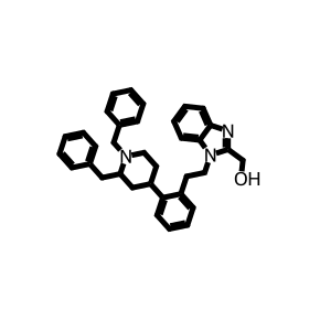 OCc1nc2ccccc2n1CCc1ccccc1C1CCN(Cc2ccccc2)C(Cc2ccccc2)C1